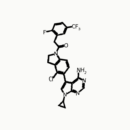 Nc1ncnc2c1c(-c1ccc3c(c1Cl)CCN3C(=O)Cc1cc(C(F)(F)F)ccc1F)cn2C1CC1